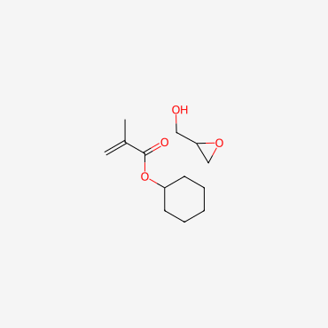 C=C(C)C(=O)OC1CCCCC1.OCC1CO1